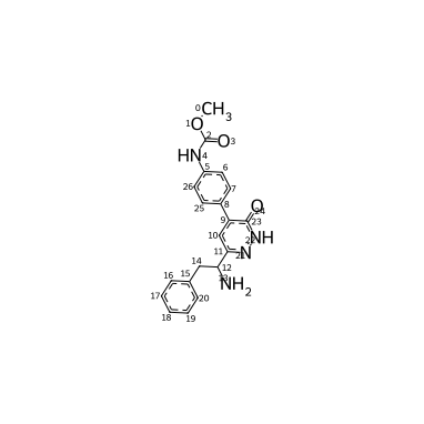 COC(=O)Nc1ccc(-c2cc(C(N)Cc3ccccc3)n[nH]c2=O)cc1